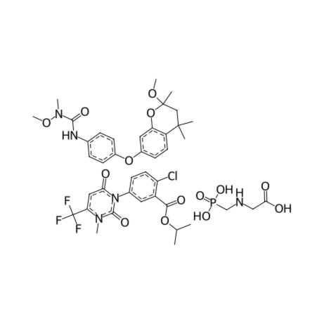 CC(C)OC(=O)c1cc(-n2c(=O)cc(C(F)(F)F)n(C)c2=O)ccc1Cl.CON(C)C(=O)Nc1ccc(Oc2ccc3c(c2)OC(C)(OC)CC3(C)C)cc1.O=C(O)CNCP(=O)(O)O